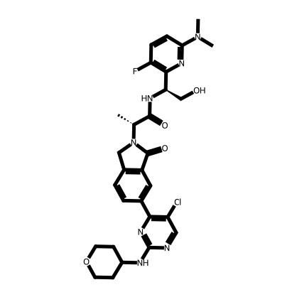 C[C@H](C(=O)N[C@H](CO)c1nc(N(C)C)ccc1F)N1Cc2ccc(-c3nc(NC4CCOCC4)ncc3Cl)cc2C1=O